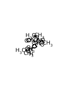 CC(C)(C)OC(=O)Nc1ccc(-c2nc(S(C)(=O)=O)nc3c2C(=O)N(C2CCOCC2)CC(C)(C)O3)cc1